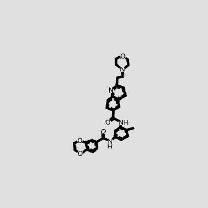 Cc1ccc(NC(=O)c2ccc3c(c2)OCCO3)cc1NC(=O)c1ccc2nc(CCN3CCOCC3)ccc2c1